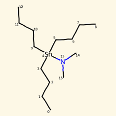 CCC[CH2][Sn]([CH2]CCC)([CH2]CCC)[N](C)C